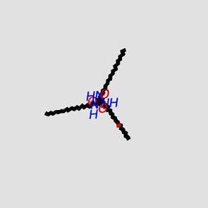 CCCCCCCCCCCCCCCCCCC(=O)Nc1cc(NC(=O)CCCCCCCCCCCCCCCCCC)cc(NC(=O)CCCCCCCCCCCCCCCCCC)c1